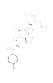 CC(O)N(C(=O)CC1(C(C)C)NC(=O)N(NC(=O)Nc2ccc(Br)cc2)C1=O)C(C)O